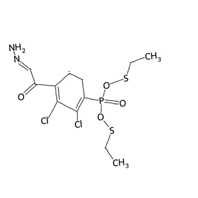 CCSOP(=O)(OSCC)C1=C(Cl)C(Cl)=C(C(=O)C=NN)[CH]C1